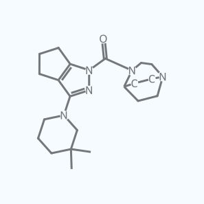 CC1(C)CCCN(c2nn(C(=O)N3CCN4CCC3CC4)c3c2CCC3)C1